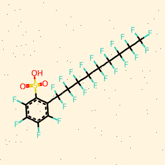 O=S(=O)(O)c1c(F)c(F)c(F)c(F)c1C(F)(F)C(F)(F)C(F)(F)C(F)(F)C(F)(F)C(F)(F)C(F)(F)C(F)(F)C(F)(F)F